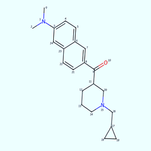 CN(C)c1ccc2cc(C(=O)C3CCCN(CC4CC4)C3)ccc2c1